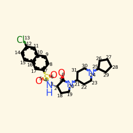 O=C1[C@@H](NS(=O)(=O)c2ccc3cc(Cl)ccc3c2)CCN1C1CCN(C2CCCC2)CC1